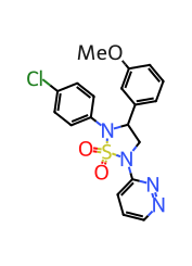 COc1cccc(C2CN(c3cccnn3)S(=O)(=O)N2c2ccc(Cl)cc2)c1